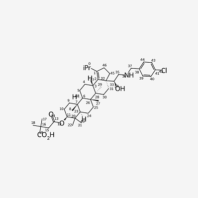 CC(C)C1=C2[C@H]3CC[C@@H]4[C@@]5(C)CC[C@H](OC(=O)CC(C)(C)C(=O)O)C(C)(C)[C@@H]5CC[C@@]4(C)[C@]3(C)CC[C@@]2([C@H](O)CNCc2ccc(Cl)cc2)CC1